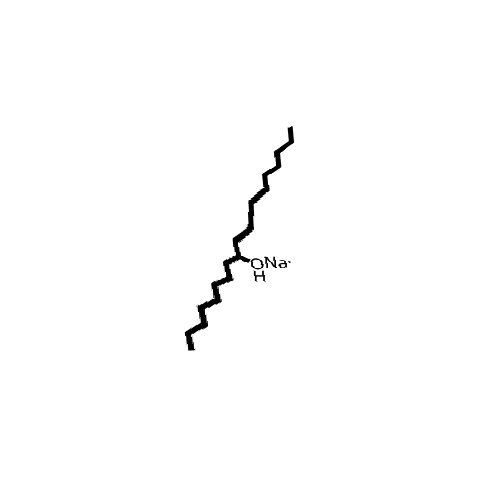 CCCCCCCCCC(O)CCCCCCCC.[Na]